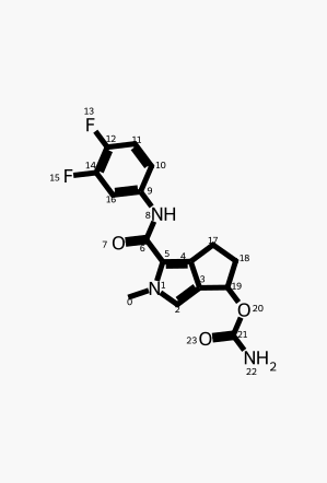 Cn1cc2c(c1C(=O)Nc1ccc(F)c(F)c1)CCC2OC(N)=O